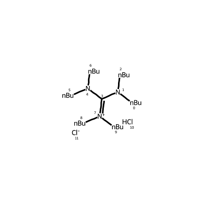 CCCCN(CCCC)C(N(CCCC)CCCC)=[N+](CCCC)CCCC.Cl.[Cl-]